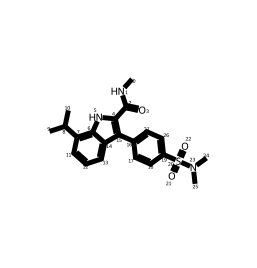 CNC(=O)c1[nH]c2c(C(C)C)cccc2c1-c1ccc(S(=O)(=O)N(C)C)cc1